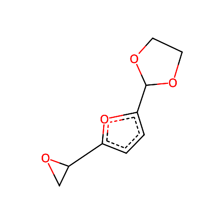 c1cc(C2OCCO2)oc1C1CO1